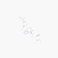 CCOC(=O)c1ncn2c(NCc3cc(OC)c(F)cc3F)ncc(-c3ccc(S(=O)(=O)N(C)C)cc3)c12